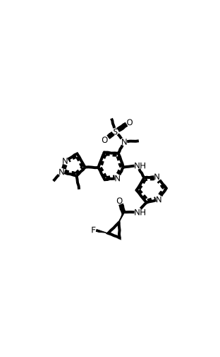 Cc1c(-c2cnc(Nc3cc(NC(=O)[C@H]4C[C@H]4F)ncn3)c(N(C)S(C)(=O)=O)c2)cnn1C